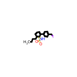 CCCCc1cccc(-c2ccc(CI)cc2)c1N[SH](=O)=O